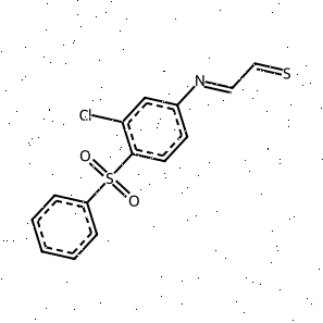 O=S(=O)(c1ccccc1)c1ccc(N=CC=S)cc1Cl